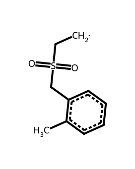 [CH2]CS(=O)(=O)Cc1ccccc1C